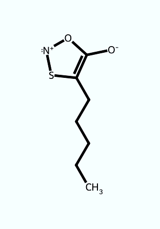 CCCCCC1=C([O-])O[N+]S1